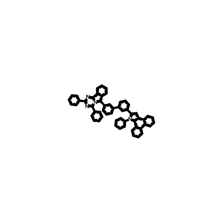 c1ccc(-c2nc(-c3ccccc3)n3c(-c4cccc(-c5cccc(-c6cc7c8ccccc8c8ccccc8c7n6-c6ccccc6)c5)c4)c4ccccc4c3n2)cc1